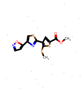 COC(=O)c1cc(-c2nc(-c3ccno3)cs2)c(SC)s1